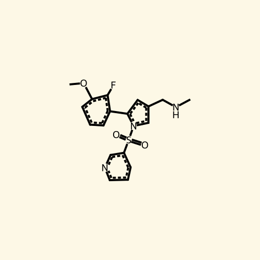 CNCc1cc(-c2cccc(OC)c2F)n(S(=O)(=O)c2cccnc2)c1